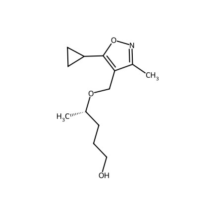 Cc1noc(C2CC2)c1CO[C@@H](C)CCCO